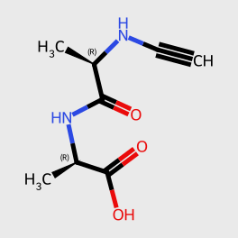 C#CN[C@H](C)C(=O)N[C@H](C)C(=O)O